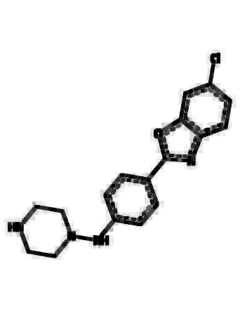 Clc1ccc2nc(-c3ccc(NN4CCNCC4)cc3)oc2c1